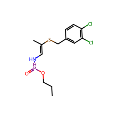 CCCO[PH](=O)NC=C(C)SCc1ccc(Cl)c(Cl)c1